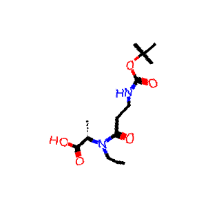 CCN(C(=O)CCNC(=O)OC(C)(C)C)[C@@H](C)C(=O)O